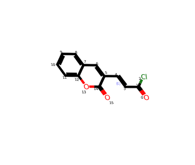 O=C(Cl)/C=C/c1cc2ccccc2oc1=O